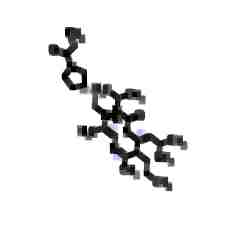 C=CC(=O)N1CC[C@@H](CCN/C(C)=C/N=C(/C)C(CCC)/C(=C\C(C)C)SC(=O)NC(C)C)C1